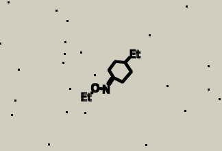 CCON=C1CCC(CC)CC1